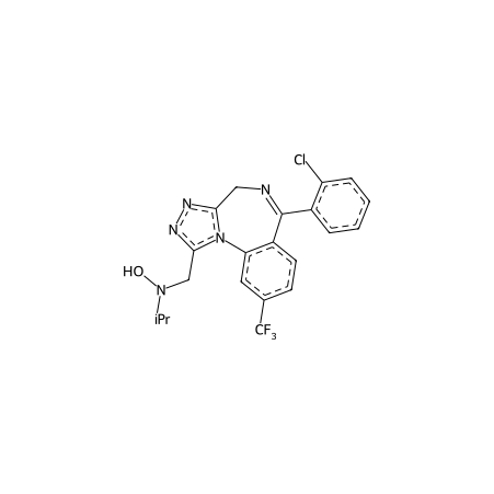 CC(C)N(O)Cc1nnc2n1-c1cc(C(F)(F)F)ccc1C(c1ccccc1Cl)=NC2